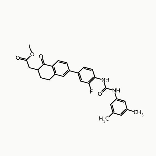 Cc1cc(C)cc(NC(=O)Nc2ccc(-c3ccc4c(c3)CCC(CC(=O)OI)C4=O)cc2F)c1